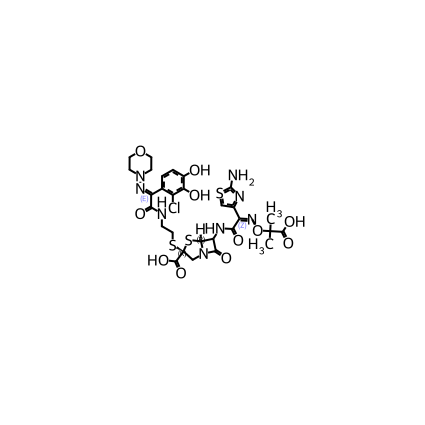 CC(C)(O/N=C(\C(=O)NC1C(=O)N2C[C@](SCCNC(=O)/C(=N/N3CCOCC3)c3ccc(O)c(O)c3Cl)(C(=O)O)S[C@H]12)c1csc(N)n1)C(=O)O